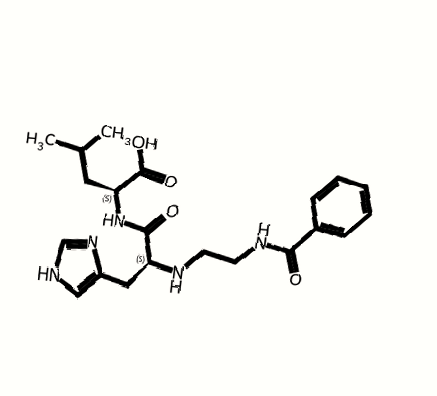 CC(C)C[C@H](NC(=O)[C@H](Cc1c[nH]cn1)NCCNC(=O)c1ccccc1)C(=O)O